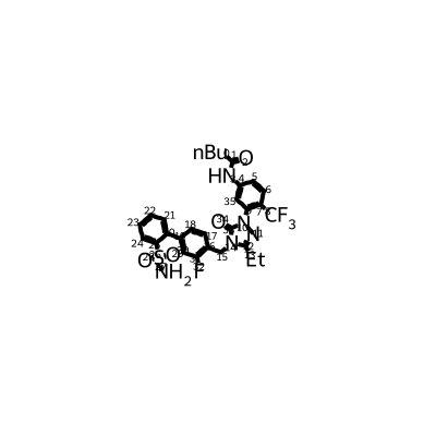 CCCCC(=O)Nc1ccc(C(F)(F)F)c(-n2nc(CC)n(Cc3ccc(-c4ccccc4S(N)(=O)=O)cc3F)c2=O)c1